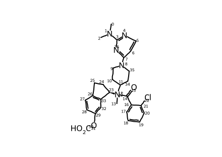 CN(C)c1nccc(N2CCC([N+](C)(C(=O)c3ccccc3Cl)[C@@H]3CCc4ccc(OC(=O)O)cc43)CC2)n1